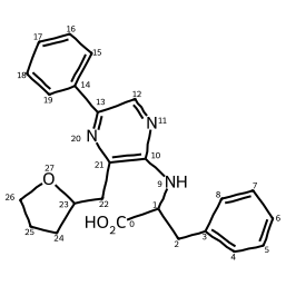 O=C(O)C(Cc1ccccc1)Nc1ncc(-c2ccccc2)nc1CC1CCCO1